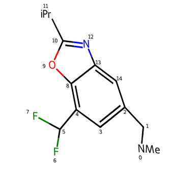 CNCc1cc(C(F)F)c2oc(C(C)C)nc2c1